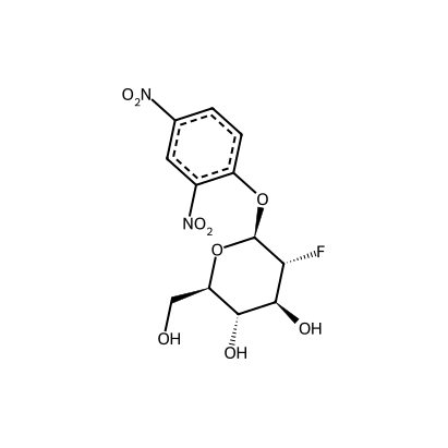 O=[N+]([O-])c1ccc(O[C@@H]2O[C@H](CO)[C@@H](O)[C@H](O)[C@H]2F)c([N+](=O)[O-])c1